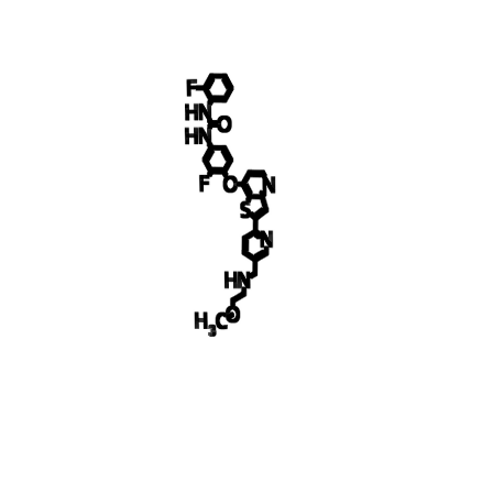 COCCNCc1ccc(-c2cc3nccc(Oc4ccc(NC(=O)Nc5ccccc5F)cc4F)c3s2)nc1